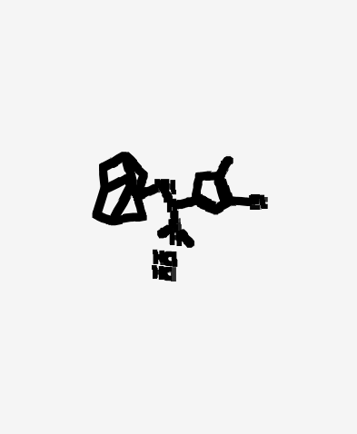 CCC1=C(C)C[C]([Ti]([NH]C23CC4CC(CC(C4)C2)C3)[SiH](C)C)=C1.Cl.Cl